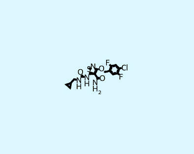 NC(=O)c1c(OCc2cc(F)c(Cl)cc2F)nsc1NC(=O)NCC1CC1